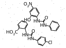 O=C(Nc1ccc(Cl)cc1)Nc1ccccc1C(=O)O.O=C(Nc1ccccc1)Nc1ccc([N+](=O)[O-])cc1O